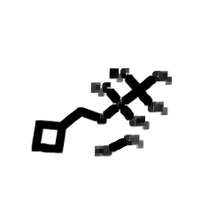 CC(C)(C)[Si](C)(C)OCC1CCC1.CO